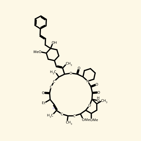 CCC1/C=C(\C)CC(C)CC(OC)C2OC(O)(C(=O)C(=O)N3CCCCC3C(=O)OC(C(C)=CC3CCC(O)(CC=Cc4ccccc4)C(OC)C3)C(C)CCC1=O)C(C)CC2OC